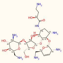 NCC[C@H](O)C(=O)N[C@@H]1C[C@H](N)[C@@H](O[C@H]2O[C@H](CN)C=C[C@H]2N)[C@H](O[C@@H]2O[C@H](CO)[C@@H](O[C@H]3O[C@@H](CN)[C@@H](O)[C@H](O)[C@H]3N)[C@H]2O)[C@H]1O